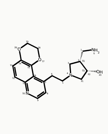 NC[C@H]1CN(CCc2ccnc3ccc4c(c23)OCCO4)C[C@H]1O